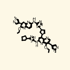 CCOc1nc2ccc(Nc3nnc(C4CCC(c5cc(Nc6nnc(C7CCCC7)s6)nc6c(OCC)c(-c7cnn(C)c7)cnc56)C4)s3)nc2cc1-c1cnn(C)c1